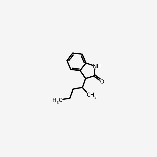 CCCC(C)C1C(=O)Nc2ccccc21